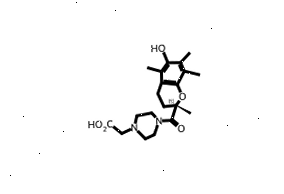 Cc1c(C)c2c(c(C)c1O)CC[C@@](C)(C(=O)N1CCN(CC(=O)O)CC1)O2